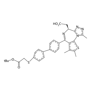 Cc1sc2c(c1C)C(c1ccc(-c3ccc(SCC(=O)OC(C)(C)C)cc3)cc1)=N[C@@H](CC(=O)O)c1nnc(C)n1-2